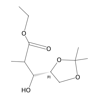 CCOC(=O)C(C)C(O)[C@H]1COC(C)(C)O1